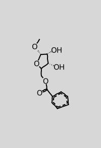 CO[C@H]1OC(COC(=O)c2ccccc2)[C@@H](O)[C@H]1O